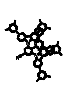 Cc1cc(C)cc(-c2ccc3c(c2)c2cc(-c4cc(C)cc(C)c4)ccc2n3-c2cc(C#N)cc(-n3c4ccc(-c5cc(C)cc(C)c5)cc4c4cc(-c5cc(C)cc(C)c5)ccc43)c2-c2nc(-c3ccccc3)cc(-c3ccccc3)n2)c1